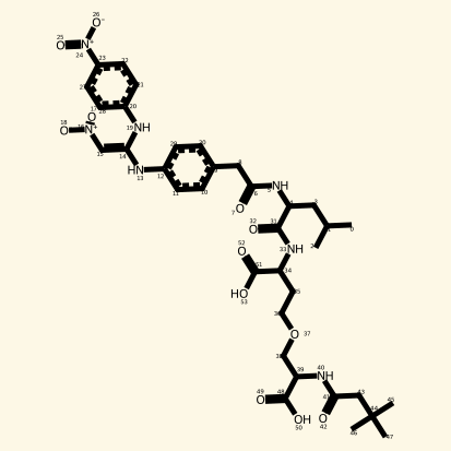 CC(C)CC(NC(=O)Cc1ccc(N/C(=C/[N+](=O)[O-])Nc2ccc([N+](=O)[O-])cc2)cc1)C(=O)NC(CCOCC(NC(=O)CC(C)(C)C)C(=O)O)C(=O)O